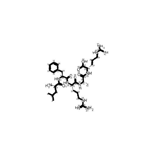 CC(C)C[C@H](N)C(=O)N[C@@H](Cc1ccccc1)C(=O)N[C@@H](CCCNC(=N)N)C(=O)N[C@@H](C)C(=O)N[C@@H](CCCNC(=N)N)C(=O)O